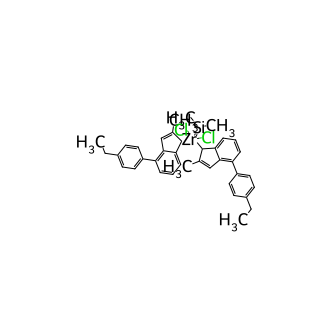 CCc1ccc(-c2cccc3c2C=C(C)[CH]3[Zr]([Cl])([Cl])([CH]2C(C)=Cc3c(-c4ccc(CC)cc4)cccc32)=[Si](C)C)cc1